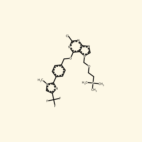 Cn1cc(C(F)(F)F)nc1-c1ccc(COc2nc(Cl)nc3ncn(COCC[Si](C)(C)C)c23)cc1